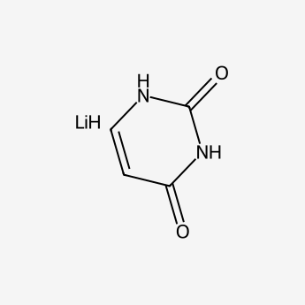 O=c1cc[nH]c(=O)[nH]1.[LiH]